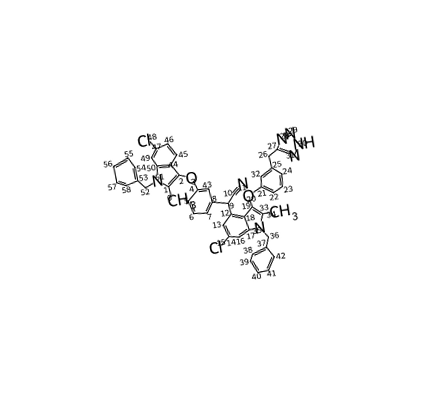 Cc1c(Oc2cccc(C(C#N)c3cc(Cl)cc4c3c(Oc3cccc(Cc5nn[nH]n5)c3)c(C)n4Cc3ccccc3)c2)c2ccc(Cl)cc2n1Cc1ccccc1